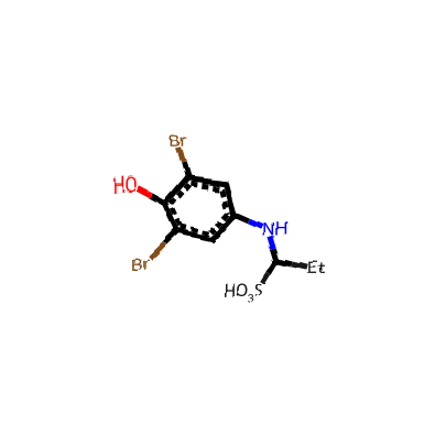 CCC(Nc1cc(Br)c(O)c(Br)c1)S(=O)(=O)O